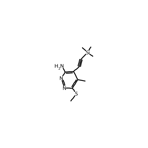 CSc1nnc(N)c(C#C[Si](C)(C)C)c1C